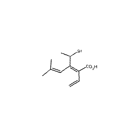 C=C/C(C(=O)O)=C(\C=C(C)C)C(C)S